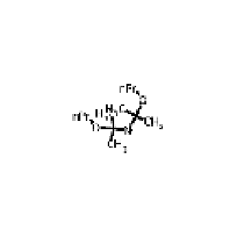 CCCOC(C)(C)[N]C(C)(C)OCCC